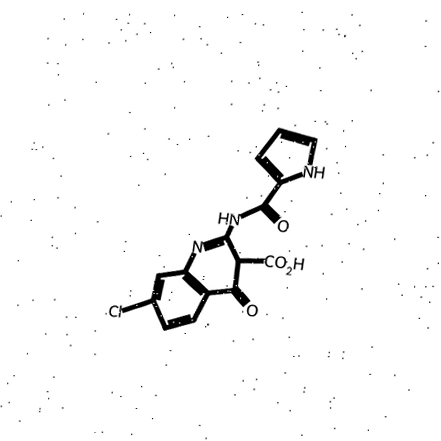 O=C(NC1=Nc2cc(Cl)ccc2C(=O)C1C(=O)O)c1ccc[nH]1